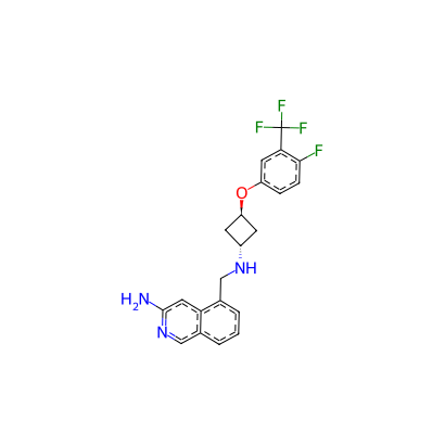 Nc1cc2c(CN[C@H]3C[C@H](Oc4ccc(F)c(C(F)(F)F)c4)C3)cccc2cn1